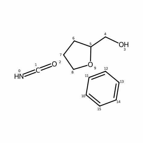 N=C=O.OCC1CCCO1.c1ccccc1